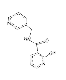 O=C(NCc1cccnc1)c1cccnc1O